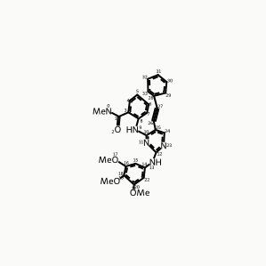 CNC(=O)c1ccccc1Nc1nc(Nc2cc(OC)c(OC)c(OC)c2)ncc1C#Cc1ccccc1